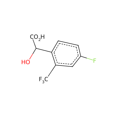 O=C(O)C(O)c1ccc(F)cc1C(F)(F)F